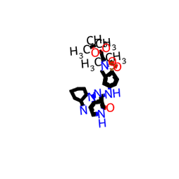 CC(C)(C)OC(=O)C(C)(C)N1Cc2cc(Nc3nn(C4CCCCC4C#N)c4cc[nH]c(=O)c34)ccc2S1(=O)=O